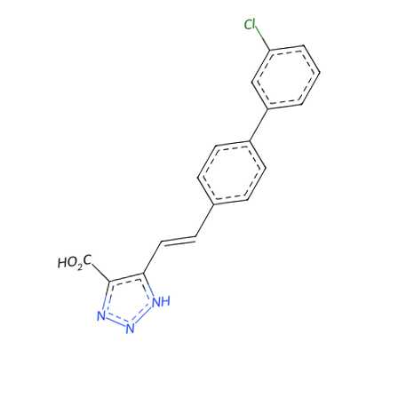 O=C(O)c1nn[nH]c1C=Cc1ccc(-c2cccc(Cl)c2)cc1